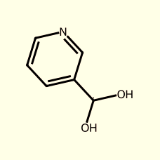 O[C](O)c1cccnc1